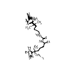 CCC(CCCC(C)(C)c1nnn[nH]1)NC(=S)NCCCC(C)(C)c1nnn[nH]1